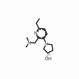 CCc1ccc(N2CC[C@H](O)C2)c(CN(C)C)n1